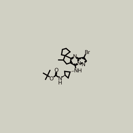 CC1Cc2c(nc3c(Br)cnn3c2N[C@H]2C[C@H](NC(=O)OC(C)(C)C)C2)C12CCCC2